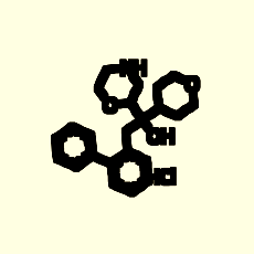 Cl.OC(Cc1ccccc1-c1ccccc1)(C1CCOCC1)C1CNCCO1